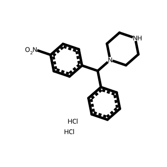 Cl.Cl.O=[N+]([O-])c1ccc(C(c2ccccc2)N2CCNCC2)cc1